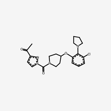 CC(=O)c1ccn(C(=O)N2CCC(Oc3cccc(Cl)c3N3CCCC3)CC2)n1